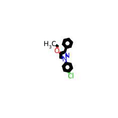 CCOc1cn(-c2ccc(Cl)cc2)nc1-c1ccccc1